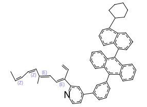 C=C\C(=C/C=C(C)/C=C\C=C/C)c1cc(-c2cccc(-c3c4ccccc4c(-c4cccc5c(C6CCCCC6)cccc45)c4ccccc34)c2)ccn1